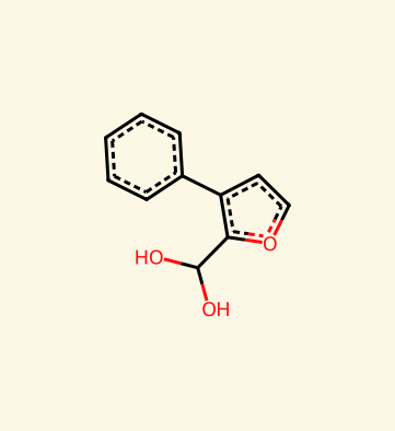 OC(O)c1occc1-c1ccccc1